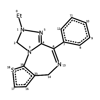 CCN1CN2C(=N1)C(c1ccccc1)=NCc1ccsc12